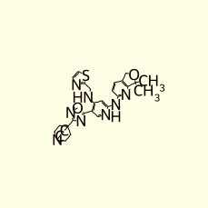 CC1(C)OCc2ccc(Nc3cc(NCc4nccs4)c(-c4nc(C56CCN(CC5)CC6)no4)cn3)nc21